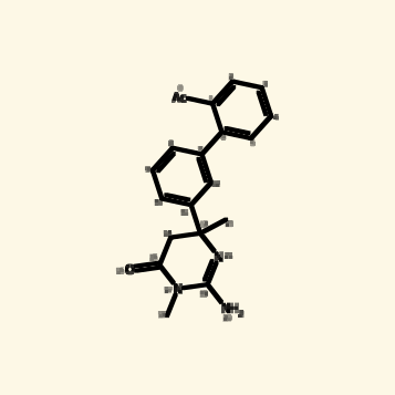 CC(=O)c1ccccc1-c1cccc(C2(C)CC(=O)N(C)C(N)=N2)c1